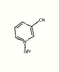 [CH2]CC[n+]1cccc(C#N)c1